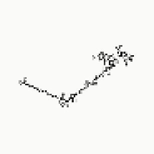 CCOP(=O)(OCC)c1ccc2c(C(C)=O)cn(CC(=O)N3[C@H](C(=O)Nc4nc(Br)ccc4C)C[C@@]4(CNC(=O)COCCOCCNC(=O)COCCOCCNC(=O)CC[C@H](NC(=O)CCCCCCCCCCCCCCCCC(=O)OC)C(=O)OC)C[C@@H]34)c2c1